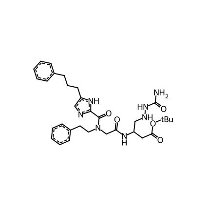 CC(C)(C)OC(=O)CC(CNNC(N)=O)NC(=O)CN(CCc1ccccc1)C(=O)c1ncc(CCCc2ccccc2)[nH]1